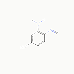 C=Nc1ccc(CCCC)cc1N(C)C